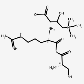 C[N+](C)(C)CC(O)CC(=O)[O-].N=C(N)NCCC[C@H](N)C(=O)OC(=O)[C@@H](N)CS